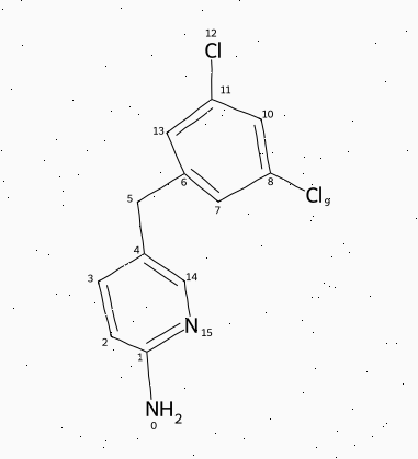 Nc1ccc(Cc2cc(Cl)cc(Cl)c2)cn1